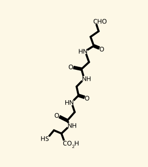 O=CCCC(=O)NCC(=O)NCC(=O)NCC(=O)NC(CS)C(=O)O